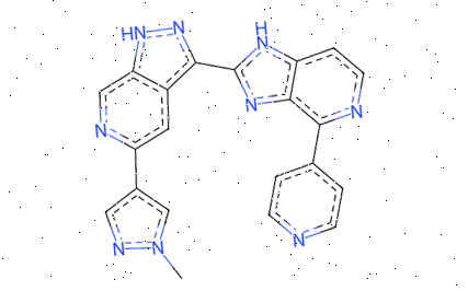 Cn1cc(-c2cc3c(-c4nc5c(-c6ccncc6)nccc5[nH]4)n[nH]c3cn2)cn1